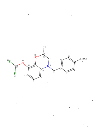 COc1ccc(CN2C[C@@H](C)Oc3c(OC(F)F)cccc32)cc1